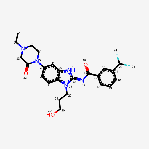 CCN1CCN(c2ccc3c(c2)[nH]/c(=N\C(=O)c2cccc(C(F)F)c2)n3CCCO)C(=O)C1